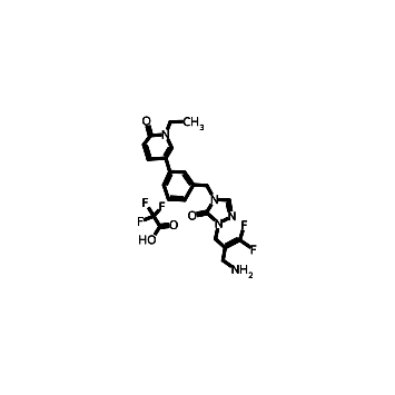 CCn1cc(-c2cccc(Cn3cnn(CC(CN)=C(F)F)c3=O)c2)ccc1=O.O=C(O)C(F)(F)F